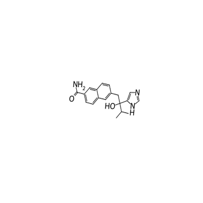 CC(C)C(O)(Cc1ccc2cc(C(N)=O)ccc2c1)c1cnc[nH]1